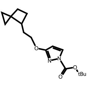 CC(C)(C)OC(=O)n1ccc(OCCC2CCC23CC3)n1